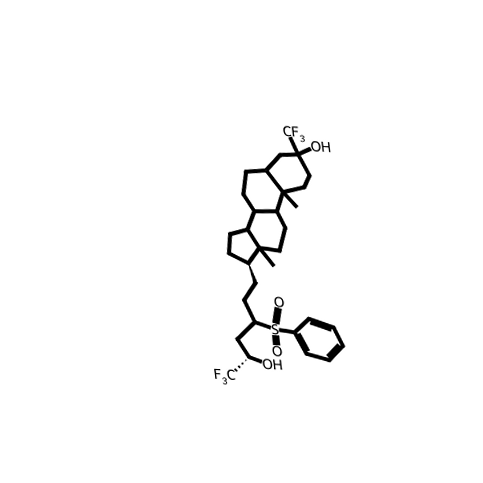 CC12CCC(O)(C(F)(F)F)CC1CCC1C2CCC2(C)C1CC[C@@H]2CCC(C[C@H](O)C(F)(F)F)S(=O)(=O)c1ccccc1